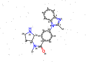 Cc1nc2ccccc2n1-c1ccc(C(=O)N(C)C2CCNC2)cc1